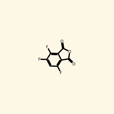 O=C1OC(=O)c2c(F)c(F)cc(F)c21